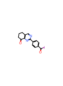 O=C(I)c1ccc(-c2ncc3c(n2)C(=O)CCC3)cc1